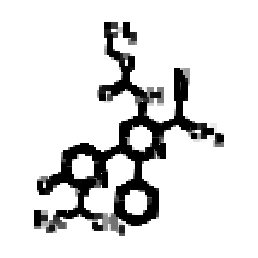 C=C(C#N)c1nc(-c2ccccc2)c(-c2ccc(=O)n(C(C)C)n2)cc1NC(=O)OCC